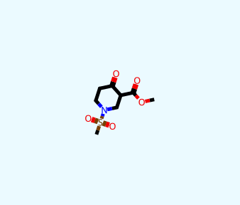 COC(=O)C1CN(S(C)(=O)=O)CCC1=O